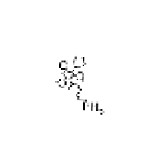 C=C(/C=C\C=C/CP)c1c(OC)cc(OC)c(-c2ccccc2)c1OC